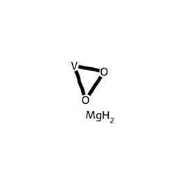 [MgH2].[O]1[O][V]1